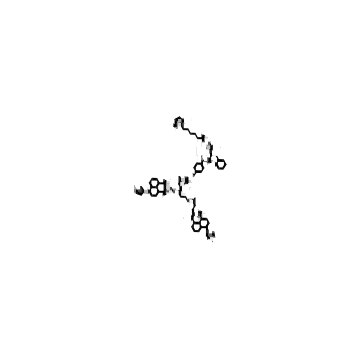 C[C@H](NC(=O)CCCCCN1C(=O)C=CC1=O)C(=O)N[C@@H](Cc1ccccc1)C(=O)Nc1ccc(COC(=O)N(C)CC(=O)N(CCCN(C)CCN2C(=O)c3cccc4c(-n5ccnc5)ccc(c34)C2=O)CCN2C(=O)c3cccc4c(-n5ccnc5)ccc(c34)C2=O)cc1